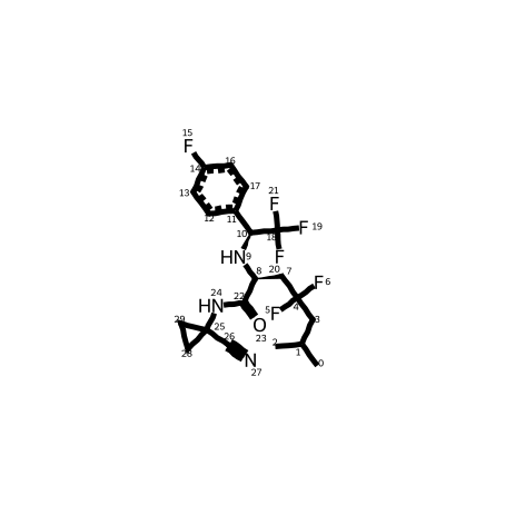 CC(C)CC(F)(F)C[C@H](N[C@@H](c1ccc(F)cc1)C(F)(F)F)C(=O)NC1(C#N)CC1